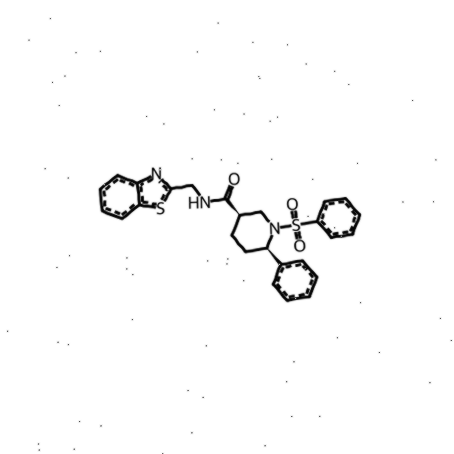 O=C(NCc1nc2ccccc2s1)[C@@H]1CC[C@H](c2ccccc2)N(S(=O)(=O)c2ccccc2)C1